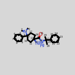 CN(C)C1(c2ccccc2)CCC(N)(C(=O)NC(C)(C)c2ccccc2)CC1